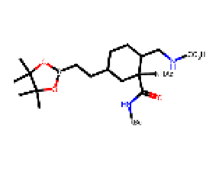 CC(=O)NC1(C(=O)NC(C)(C)C)CC(CCB2OC(C)(C)C(C)(C)O2)CCC1CNC(=O)O